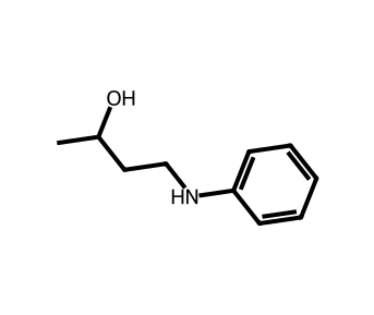 CC(O)CCNc1ccccc1